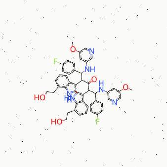 COc1cncc(NC(c2ccc(F)cc2)C(C(=O)C(c2c[nH]c3c(CCO)cccc23)C(Nc2cncc(OC)c2)c2ccc(F)cc2)c2c[nH]c3c(CCO)cccc23)c1